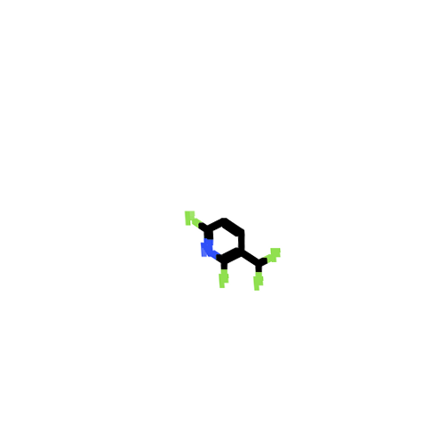 Fc1ccc(C(F)F)c(F)n1